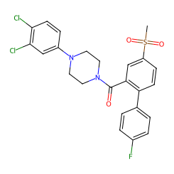 CS(=O)(=O)c1ccc(-c2ccc(F)cc2)c(C(=O)N2CCN(c3ccc(Cl)c(Cl)c3)CC2)c1